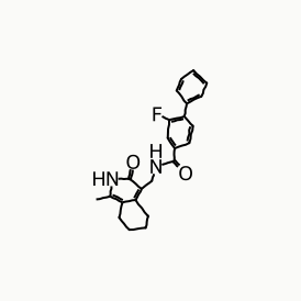 Cc1[nH]c(=O)c(CNC(=O)c2ccc(-c3ccccc3)c(F)c2)c2c1CCCC2